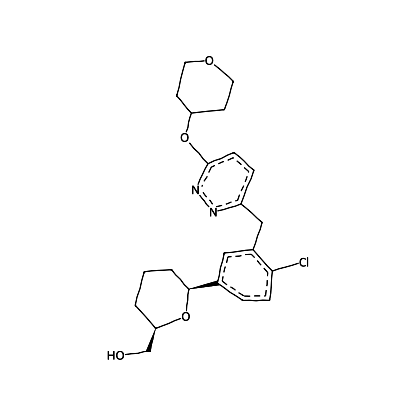 OC[C@H]1CCC[C@@H](c2ccc(Cl)c(Cc3ccc(OC4CCOCC4)nn3)c2)O1